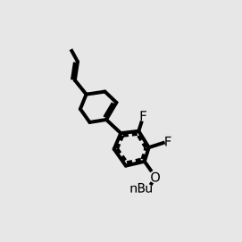 C/C=C/C1CC=C(c2ccc(OCCCC)c(F)c2F)CC1